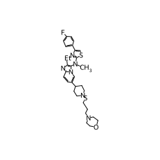 CCc1nc2ccc(C3CCN(SCCCN4CCOCC4)CC3)cn2c1N(C)c1nc(-c2ccc(F)cc2)cs1